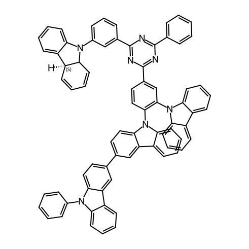 C1=CC2[C@@H](C=C1)c1ccccc1N2c1cccc(-c2nc(-c3ccccc3)nc(-c3ccc(-n4c5ccccc5c5cc(-c6ccc7c(c6)c6ccccc6n7-c6ccccc6)ccc54)c(-n4c5ccccc5c5ccccc54)c3)n2)c1